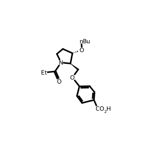 CCCCO[C@H]1CCN(C(=O)CC)[C@@H]1COc1ccc(C(=O)O)cc1